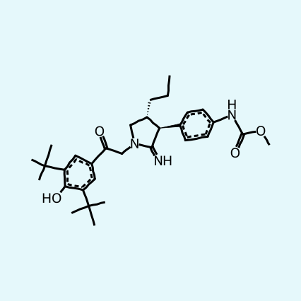 CCC[C@H]1CN(CC(=O)c2cc(C(C)(C)C)c(O)c(C(C)(C)C)c2)C(=N)[C@@H]1c1ccc(NC(=O)OC)cc1